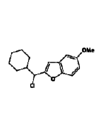 COc1ccc2oc(C(Cl)C3CCCCC3)cc2c1